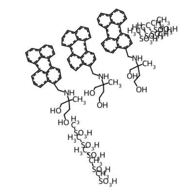 CC(CO)(CCO)NCc1ccc2c3cccc4cccc(c5cccc1c52)c43.CC(CO)(CCO)NCc1ccc2c3cccc4cccc(c5cccc1c52)c43.CC(CO)(CCO)NCc1ccc2c3cccc4cccc(c5cccc1c52)c43.CS(=O)(=O)O.CS(=O)(=O)O.CS(=O)(=O)O.CS(=O)(=O)O.CS(=O)(=O)O.CS(=O)(=O)O.CS(=O)(=O)O.CS(=O)(=O)O.CS(=O)(=O)O.CS(=O)(=O)O